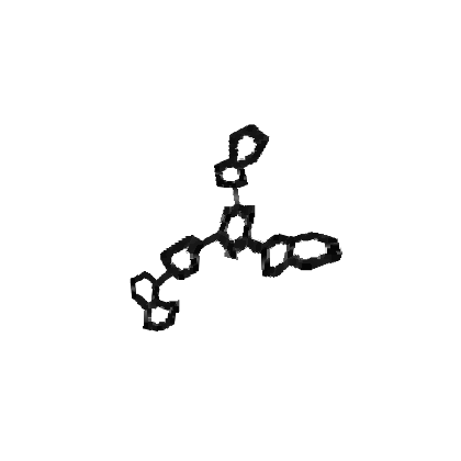 C1=c2cccnc2=C(c2ccc(-c3nc(-c4ccc5ccccc5c4)nc(-c4ccc5ccccc5c4)n3)cc2)CC1